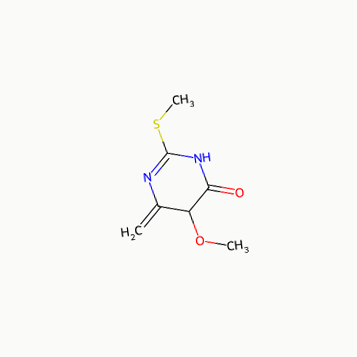 C=C1N=C(SC)NC(=O)C1OC